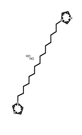 Cl.Cl.c1cn(CCCCCCCCCCCCCCCn2ccnc2)cn1